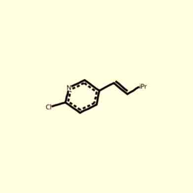 CC(C)C=Cc1ccc(Cl)nc1